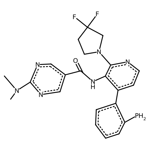 CN(C)c1ncc(C(=O)Nc2c(-c3ccccc3P)ccnc2N2CCC(F)(F)C2)cn1